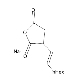 CCCCCCC=CC1CC(=O)OC1=O.[Na]